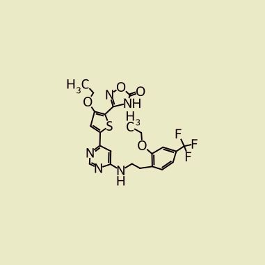 CCOc1cc(C(F)(F)F)ccc1CCNc1cc(-c2cc(OCC)c(-c3noc(=O)[nH]3)s2)ncn1